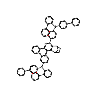 c1ccc(-c2ccc(N(c3ccc(-c4nc5c6ccccc6c6cc(N(c7ccc(-c8ccccc8)cc7)c7ccccc7-c7ccccc7)ccc6c5c5c4C4CCC5C4)cc3)c3ccccc3-c3ccccc3)cc2)cc1